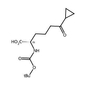 CC(C)(C)OC(=O)N[C@@H](CCCC(=O)C1CC1)C(=O)O